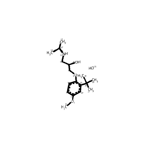 COc1ccc(OCC(O)CNC(C)C)c(C(C)(C)C)c1.Cl